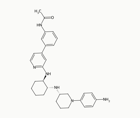 CC(=O)Nc1cccc(-c2ccnc(N[C@@H]3CCCC[C@H]3N[C@H]3CCCN(c4ccc(N)cc4)C3)c2)c1